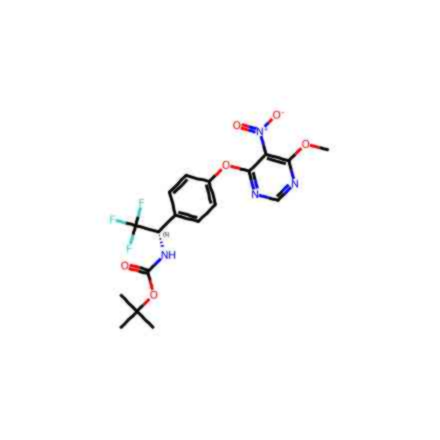 COc1ncnc(Oc2ccc([C@H](NC(=O)OC(C)(C)C)C(F)(F)F)cc2)c1[N+](=O)[O-]